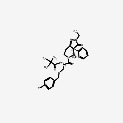 C[C@H]1N(C(=O)[C@@H](COCc2ccc(Cl)cc2)NC(=O)C(C)(C)N)CCC2=NN(CC(F)(F)F)C(=O)[C@@]21c1ccccn1